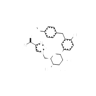 CCOc1ccc(Cc2cc([C@@H]3O[C@H](Cn4cc(C(N)=O)nn4)[C@H](O)[C@@H](O)[C@H]3O)ccc2Cl)cc1